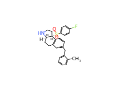 Cc1ccccc1Cc1ccc2c(c1)CC[C@H]1NCC[C@@]21S(=O)(=O)c1ccc(F)cc1